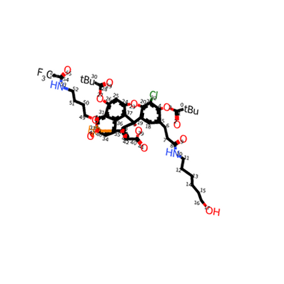 CC(C)(C)C(=O)Oc1c(CCC(=O)NCCCCCCO)cc2c(c1Cl)Oc1cc(OC(=O)C(C)(C)C)c3ccccc3c1C21OC(=O)c2ccc([PH](=O)OCCCCNC(=O)C(F)(F)F)cc21